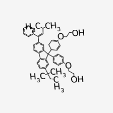 CCC(C)(C)c1ccc2c(c1)C(c1ccc(OCCO)cc1)(C1C=CC(OCCO)=CC1)c1cc(C(=CC(C)C)c3ccccc3)ccc1-2